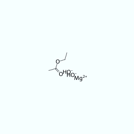 CCOC(C)=O.[Mg+2].[OH-].[OH-]